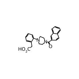 O=C(O)Cc1ccccc1N1CCN(C(=O)c2ccc3ccccc3c2)CC1